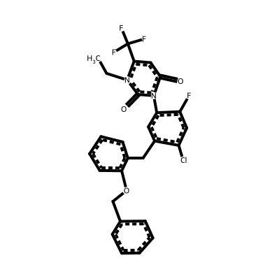 CCn1c(C(F)(F)F)cc(=O)n(-c2cc(Cc3ccccc3OCc3ccccc3)c(Cl)cc2F)c1=O